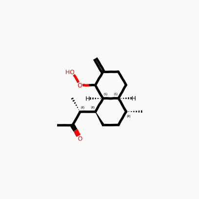 C=C1CC[C@@H]2[C@H](C1OO)[C@H]([C@@H](C)C(C)=O)CC[C@H]2C